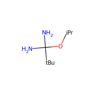 CC(C)OC(N)(N)C(C)(C)C